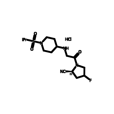 CC(C)S(=O)(=O)N1CCC(NCC(=O)N2CC(F)C[C@H]2C#N)CC1.Cl